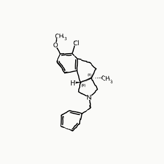 COc1ccc2c(c1Cl)CC[C@@]1(C)CN(Cc3ccccc3)C[C@H]21